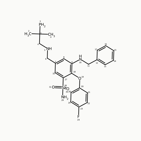 CC(C)(P)CNCc1cc(NCc2ccccc2)c(Oc2ccc(F)cc2)c(S(N)(=O)=O)c1